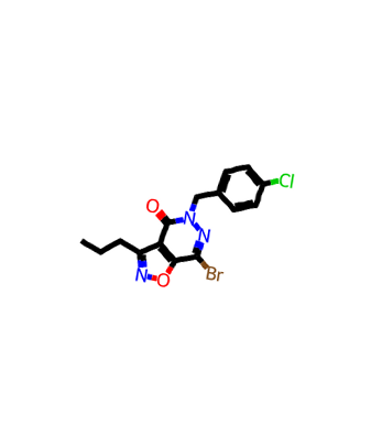 CCCc1noc2c(Br)nn(Cc3ccc(Cl)cc3)c(=O)c12